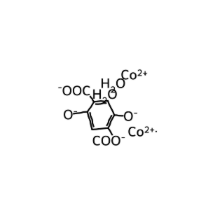 O.O.O=C([O-])c1cc([O-])c(C(=O)[O-])cc1[O-].[Co+2].[Co+2]